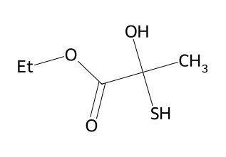 CCOC(=O)C(C)(O)S